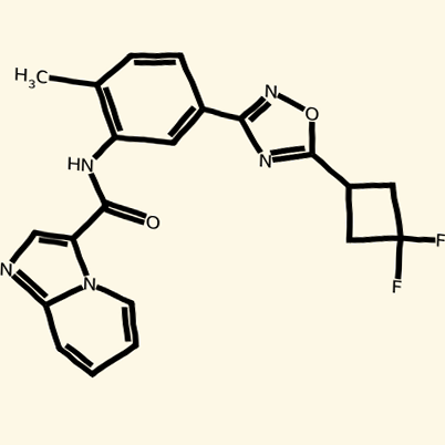 Cc1ccc(-c2noc(C3CC(F)(F)C3)n2)cc1NC(=O)c1cnc2ccccn12